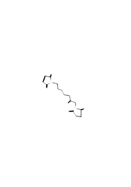 O=C(CCCCCN1C(=O)C=CC1=O)CN1C(=O)CCC1=O